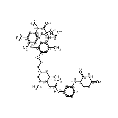 Cc1cc(OCCN2C[C@@H](C)N(CC(=O)Nc3cccc(NC4CCC(=O)NC4=O)c3)[C@@H](C)C2)c(C(C)C)cc1N(C=S)C(C)(C)C(=O)N(C)c1ccc(C#N)c(C(F)(F)F)c1